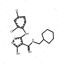 N=C(NCC1CCCCC1)c1c(O)nsc1Nc1ccc(Cl)cc1Cl